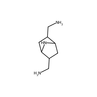 NCC1CC2NC1CC2CN